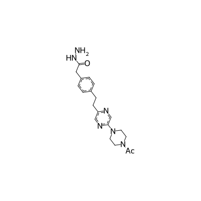 CC(=O)N1CCN(c2cnc(CCc3ccc(CC(=O)NN)cc3)cn2)CC1